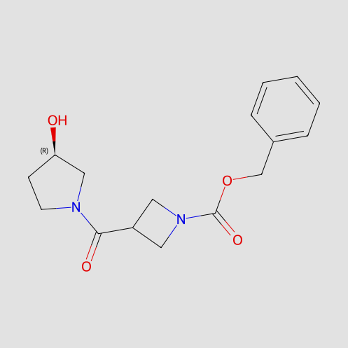 O=C(OCc1ccccc1)N1CC(C(=O)N2CC[C@@H](O)C2)C1